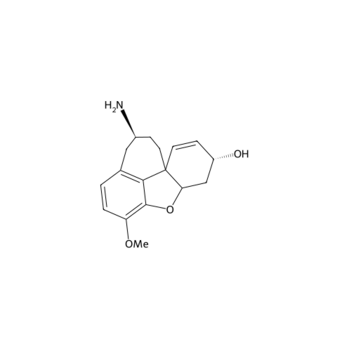 COc1ccc2c3c1OC1C[C@@H](O)C=CC31CC[C@H](N)C2